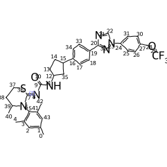 Cc1cc(C)c(N2/C(=N/C(=O)NC3CCC(c4ccc(-c5ncn(-c6ccc(OC(F)(F)F)cc6)n5)cc4)C3)SCCC2C)c(C)c1